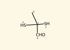 CC(S)(S)C=O